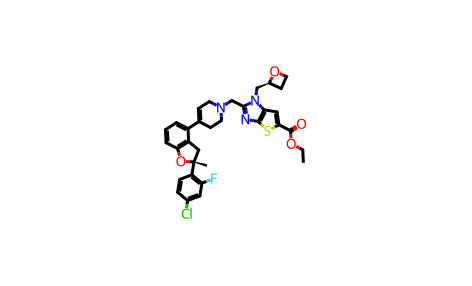 CCOC(=O)c1cc2c(nc(CN3CC=C(c4cccc5c4C[C@](C)(c4ccc(Cl)cc4F)O5)CC3)n2C[C@@H]2CCO2)s1